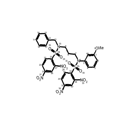 COc1cccc(N(CCCN(Cc2ccccc2)S(=O)(=O)c2ccc([N+](=O)[O-])cc2[N+](=O)[O-])S(=O)(=O)c2ccc([N+](=O)[O-])cc2[N+](=O)[O-])c1